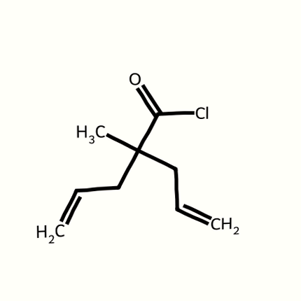 C=CCC(C)(CC=C)C(=O)Cl